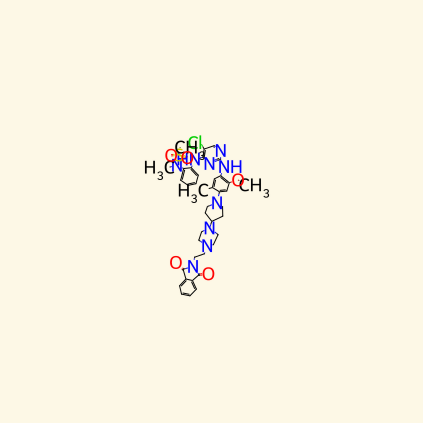 COc1cc(N2CCC(N3CCN(CCN4C(=O)c5ccccc5C4=O)CC3)CC2)c(C)cc1Nc1ncc(Cl)c(Nc2ccccc2N(C)S(C)(=O)=O)n1